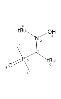 CC(C)(C)C(N(O)C(C)(C)C)P(C)(C)=O